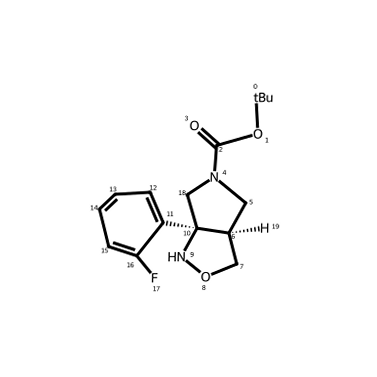 CC(C)(C)OC(=O)N1C[C@H]2CON[C@@]2(c2ccccc2F)C1